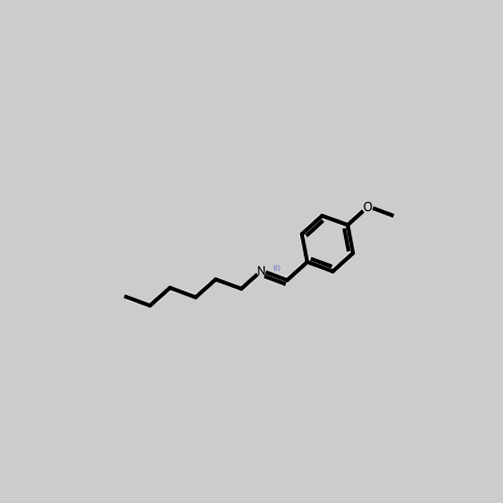 CCCCCC/N=C/c1ccc(OC)cc1